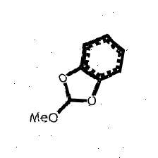 COC1Oc2c[c]ccc2O1